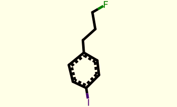 FCCCc1ccc(I)cc1